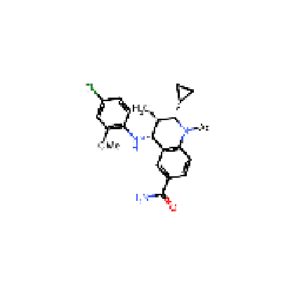 COc1cc(Cl)ccc1N[C@H]1c2cc(C(N)=O)ccc2N(C(C)=O)[C@@H](C2CC2)[C@@H]1C